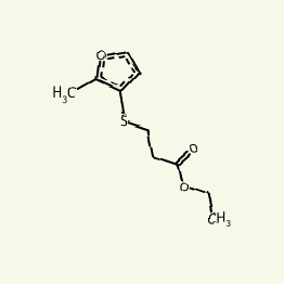 CCOC(=O)CCSc1ccoc1C